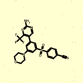 N#Cc1ccc(S(=O)(=O)c2cc(-c3cnc(N)nc3C(F)(F)F)cc(N3CCOCC3)c2)cc1